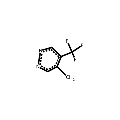 [CH2]c1cnncc1C(F)(F)F